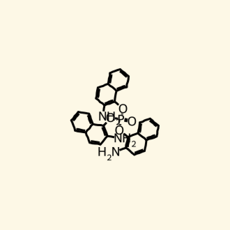 Nc1ccc2ccccc2c1OP(=O)(Oc1c(N)ccc2ccccc12)Oc1c(N)ccc2ccccc12